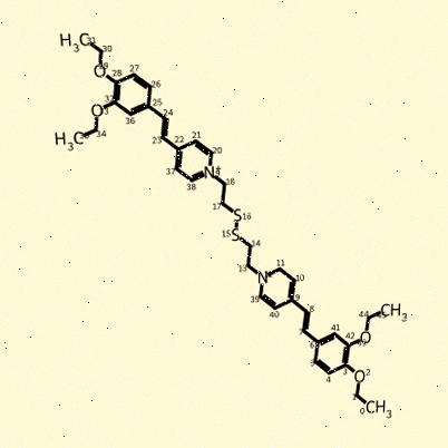 CCOc1ccc(/C=C/C2=CCN(CCSSCC[n+]3ccc(/C=C/c4ccc(OCC)c(OCC)c4)cc3)C=C2)cc1OCC